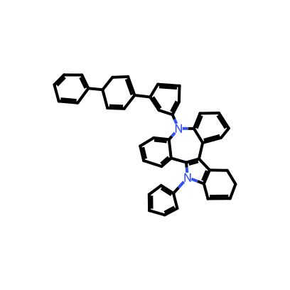 C1=Cc2c(c3c(n2-c2ccccc2)-c2ccccc2N(c2cccc(C4=CCC(c5ccccc5)C=C4)c2)c2ccccc2-3)CC1